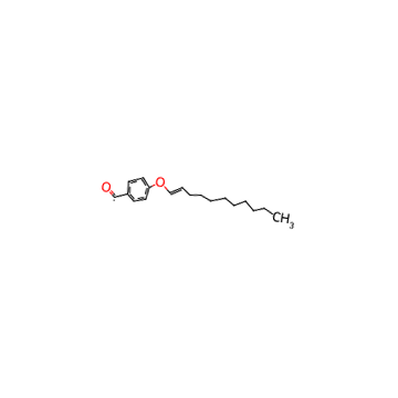 CCCCCCCCC/C=C/Oc1ccc([C]=O)cc1